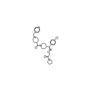 O=C(CON=C(c1ccc(Cl)cc1)C1CCN(C(=O)C2CCN(Cc3ccncc3)CC2)CC1)N1CCCC1